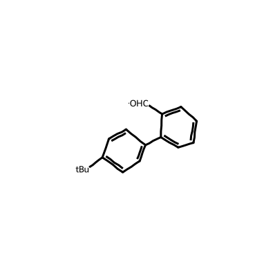 CC(C)(C)c1ccc(-c2ccccc2[C]=O)cc1